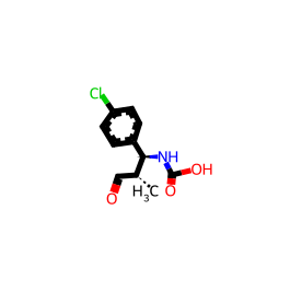 C[C@H](C=O)[C@H](NC(=O)O)c1ccc(Cl)cc1